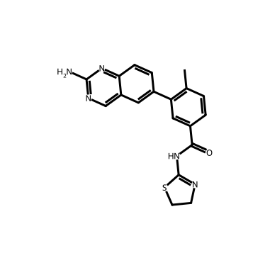 Cc1ccc(C(=O)NC2=NCCS2)cc1-c1ccc2nc(N)ncc2c1